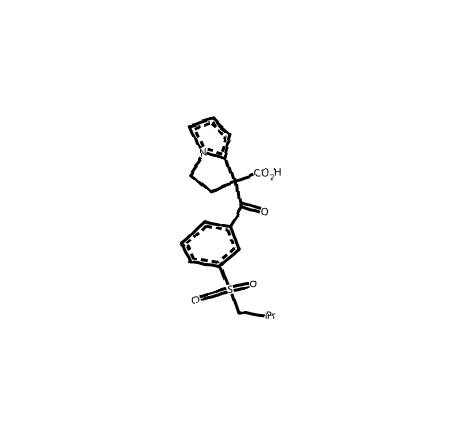 CC(C)CS(=O)(=O)c1cccc(C(=O)C2(C(=O)O)CCn3cccc32)c1